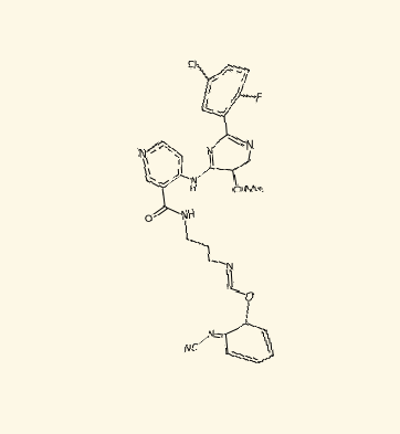 COC1CN=C(c2cc(Cl)ccc2F)N=C1Nc1ccncc1C(=O)NCCCN=COC1C=CC=CC1=NC#N